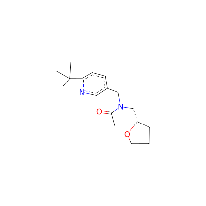 CC(=O)N(Cc1ccc(C(C)(C)C)nc1)C[C@@H]1CCCO1